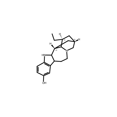 CC[C@H]1C[C@H]2C[C@H]3C4Nc5ccc(O)cc5C4CCN(C2)C13